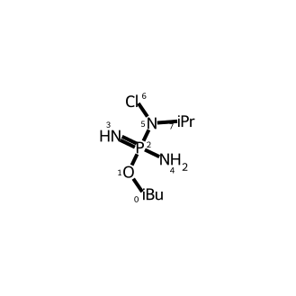 CCC(C)OP(=N)(N)N(Cl)C(C)C